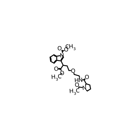 COC(=O)C(CCOCCNC(=O)C1CCCN1C(C)=O)c1cn(C(=O)OC)c2ccccc12